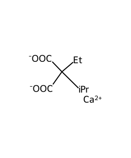 CCC(C(=O)[O-])(C(=O)[O-])C(C)C.[Ca+2]